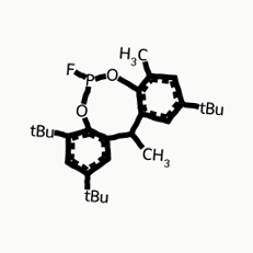 Cc1cc(C(C)(C)C)cc2c1OP(F)Oc1c(cc(C(C)(C)C)cc1C(C)(C)C)C2C